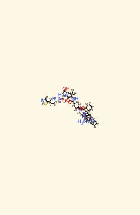 Cc1ncsc1-c1ccc(CNC(=O)[C@@H]2C[C@@H](O)CN2C(=O)[C@@H](NC(=O)[C@H]2CC[C@H](N3CCC(c4ccc(N5C6CCC5CN(c5cc(-c7ccccc7O)nnc5N)C6)cc4)CC3)CC2)C(C)(C)C)nc1